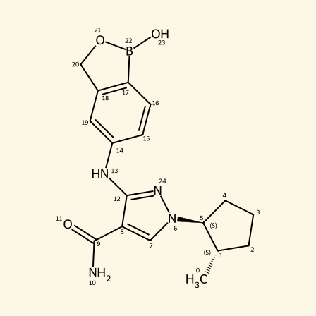 C[C@H]1CCC[C@@H]1n1cc(C(N)=O)c(Nc2ccc3c(c2)COB3O)n1